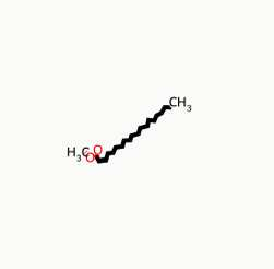 CCCCCCCCCCCCCCCCC/C=C\C(=O)OC